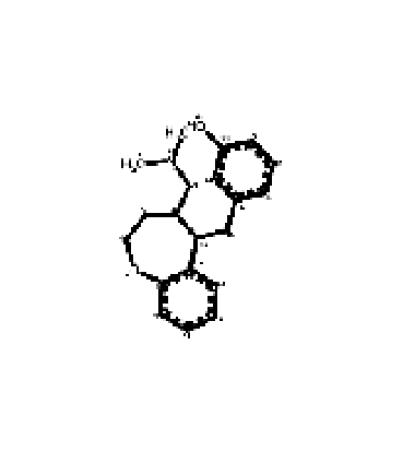 CN(C)CC1CCOc2ccccc2C1Cc1cccc(O)c1